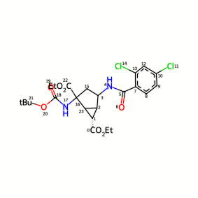 CCOC(=O)[C@H]1C2C(NC(=O)c3ccc(Cl)cc3Cl)CC(NC(=O)OC(C)(C)C)(C(=O)OCC)C21